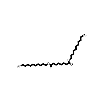 CC(C)CCCCCCCCCCOC(=O)CCCCCCC(=O)OCCCCCCCCCCC(C)C